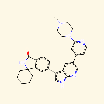 CN1CCN(c2cc(-c3cnc4[nH]cc(-c5ccc6c(c5)C5(CCCCC5)NC6=O)c4c3)ccn2)CC1